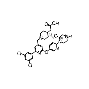 C[C@H]1CNCCN1c1ccc(Oc2cc(CN3CCC(CC(=O)O)CC3)cc(-c3cc(Cl)cc(Cl)c3)n2)cn1